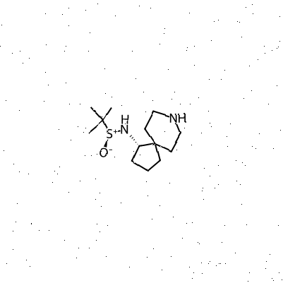 CC(C)(C)[S@+]([O-])N[C@H]1CCCC12CCNCC2